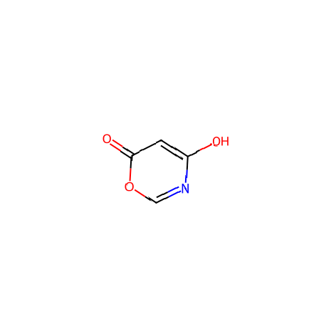 O=c1cc(O)nco1